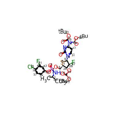 CC(NP(=O)(OC[C@H]1S[C@@H](n2ccc(N(C(=O)OC(C)(C)C)C(=O)OC(C)(C)C)nc2=O)[C@@H](F)[C@@H]1OC(=O)OC(C)(C)C)Oc1ccc(Cl)c(F)c1)C(=O)O